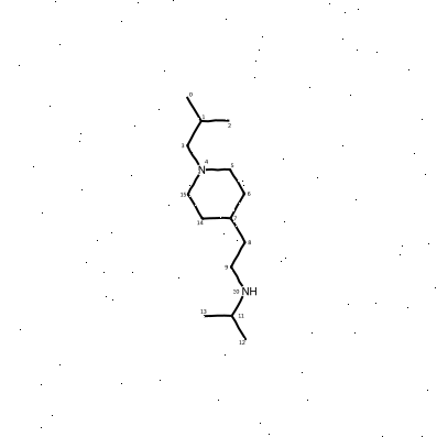 CC(C)CN1CCC(CCNC(C)C)CC1